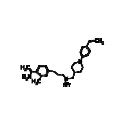 C=Cc1ccc(N2CCC(CN(CCC)CCCc3ccc(C(=C)N)c(C)c3)CC2)cc1